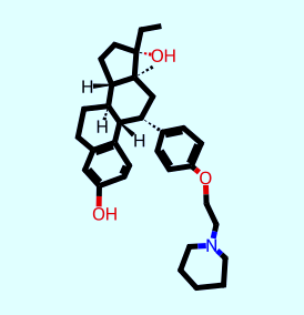 CC[C@]1(O)CC[C@H]2[C@@H]3CCc4cc(O)ccc4[C@H]3[C@@H](c3ccc(OCCN4CCCCC4)cc3)C[C@@]21C